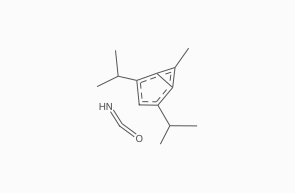 Cc1c2c(C(C)C)cc(C(C)C)c1-2.N=C=O